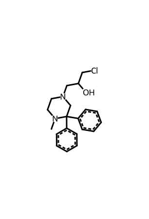 CN1CCN(CC(O)CCl)CC1(c1ccccc1)c1ccccc1